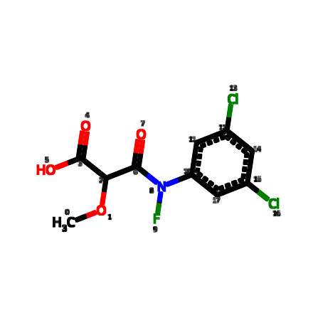 COC(C(=O)O)C(=O)N(F)c1cc(Cl)cc(Cl)c1